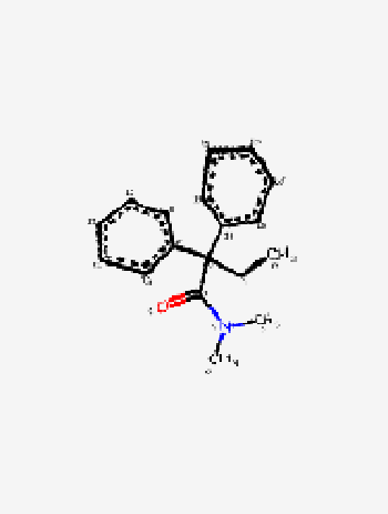 CCC(C(=O)N(C)C)(c1ccccc1)c1ccccc1